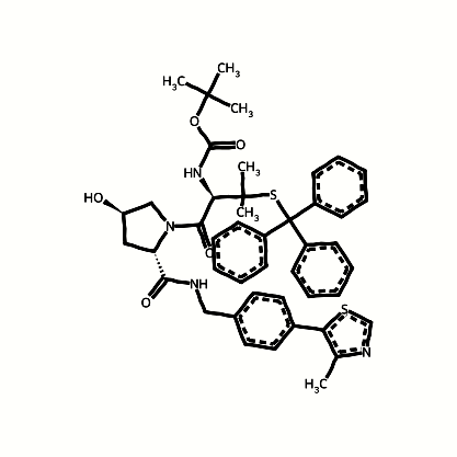 Cc1ncsc1-c1ccc(CNC(=O)[C@@H]2C[C@@H](O)CN2C(=O)[C@@H](NC(=O)OC(C)(C)C)C(C)(C)SC(c2ccccc2)(c2ccccc2)c2ccccc2)cc1